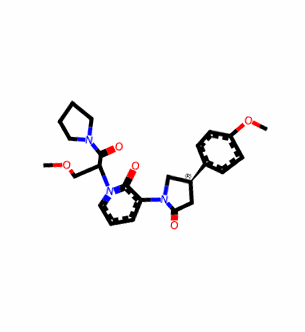 COCC(C(=O)N1CCCC1)n1cccc(N2C[C@@H](c3ccc(OC)cc3)CC2=O)c1=O